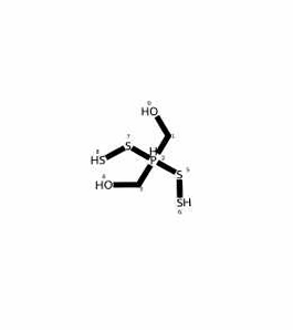 OC[PH](CO)(SS)SS